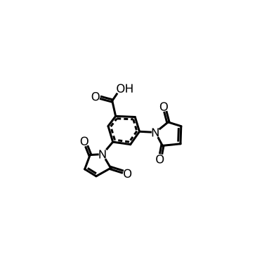 O=C(O)c1cc(N2C(=O)C=CC2=O)cc(N2C(=O)C=CC2=O)c1